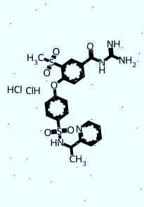 CC(NS(=O)(=O)c1ccc(Oc2ccc(C(=O)NC(=N)N)cc2S(C)(=O)=O)cc1)c1ccccn1.Cl.Cl